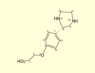 OCCOc1ccc([C@H]2CNCCN2)cc1